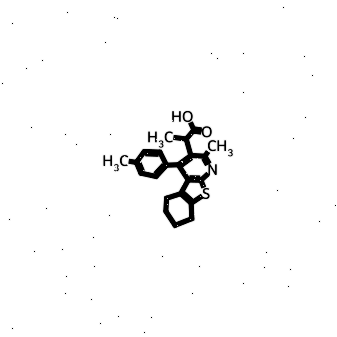 Cc1ccc(-c2c(C(C)C(=O)O)c(C)nc3sc4c(c23)CCCC4)cc1